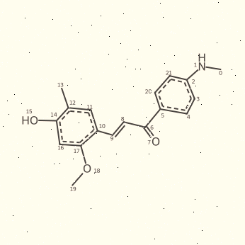 CNc1ccc(C(=O)C=Cc2cc(C)c(O)cc2OC)cc1